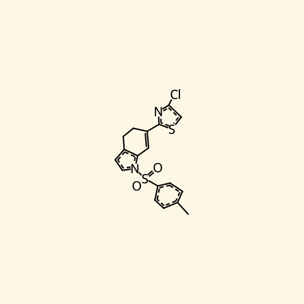 Cc1ccc(S(=O)(=O)n2ccc3c2C=C(c2nc(Cl)cs2)CC3)cc1